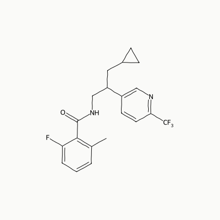 Cc1cccc(F)c1C(=O)NCC(CC1CC1)c1ccc(C(F)(F)F)nc1